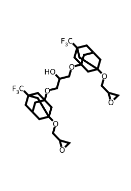 OC(COC12CC3CC(OCC4CO4)(C1)CC(C(F)(F)F)(C3)C2)COC12CC3CC(OCC4CO4)(C1)CC(C(F)(F)F)(C3)C2